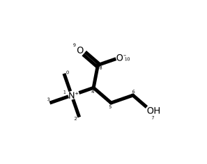 C[N+](C)(C)C(CCO)C(=O)[O-]